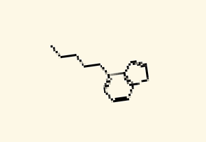 CCCCCc1cccc2c1C=C[CH]2